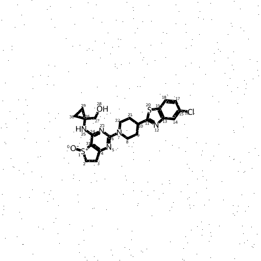 [O-][S+]1CCc2nc(N3CCC(c4nc5cc(Cl)ccc5s4)CC3)nc(NC3(CO)CC3)c21